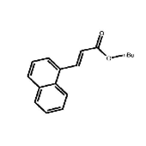 CCCCOC(=O)C=Cc1cccc2ccccc12